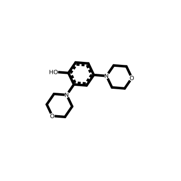 Oc1ccc(N2CCOCC2)cc1N1CCOCC1